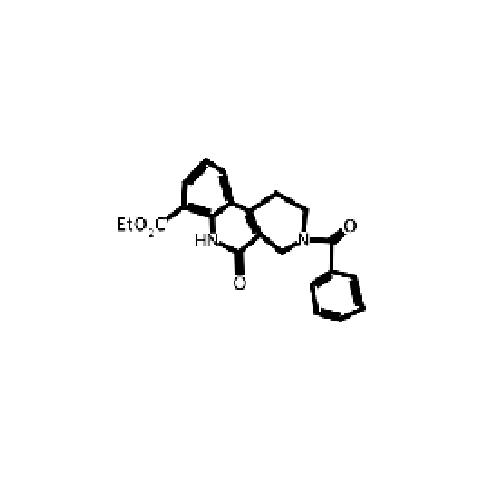 CCOC(=O)c1cccc2c3c(c(=O)[nH]c12)CN(C(=O)c1ccccc1)CC3